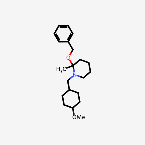 COC1CCC(CN2CCCCC2(C)OCc2ccccc2)CC1